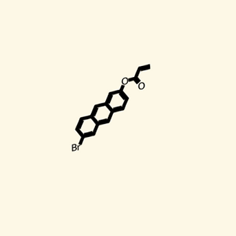 C=CC(=O)Oc1ccc2cc3cc(Br)ccc3cc2c1